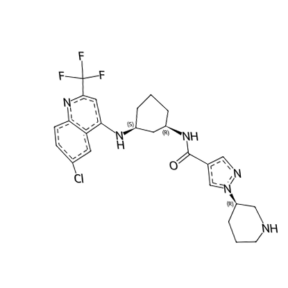 O=C(N[C@@H]1CCC[C@H](Nc2cc(C(F)(F)F)nc3ccc(Cl)cc23)C1)c1cnn([C@@H]2CCCNC2)c1